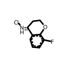 Fc1cccc2c1OCC[C@H]2NCl